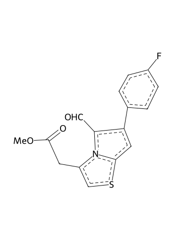 COC(=O)Cc1csc2cc(-c3ccc(F)cc3)c(C=O)n12